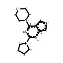 c1scc2c(N3CCOCC3)nc(N3CCCC3)nc12